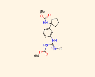 CC/N=C(/NC(=O)OC(C)(C)C)Nc1cccc(C2(NC(=O)OC(C)(C)C)CCCC2)c1